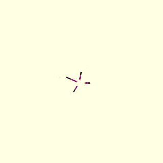 CCCCC[PH](CCC)(CCC)CCCC